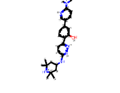 CN(C)c1ccc(-c2ccc(-c3ccc(NC4CC(C)(C)NC(C)(C)C4)nn3)c(O)c2)cn1